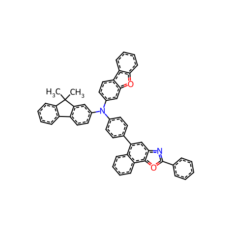 CC1(C)c2ccccc2-c2ccc(N(c3ccc(-c4cc5nc(-c6ccccc6)oc5c5ccccc45)cc3)c3ccc4c(c3)oc3ccccc34)cc21